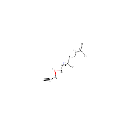 C#CCOC/C=C(\C)CCC=C(C)C